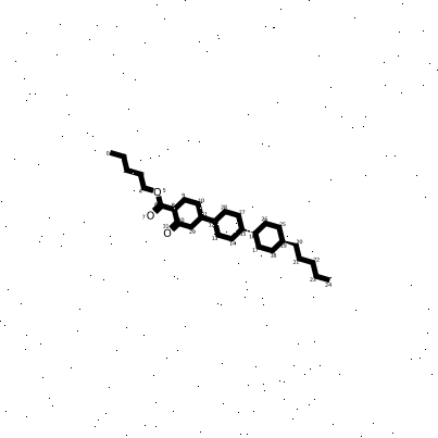 CCCCCOC(=O)C1CCC(C2CCC([C@H]3CC[C@H](CCCCC)CC3)CC2)CC1=O